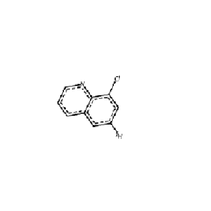 [2H]c1cc(Cl)c2ncccc2c1